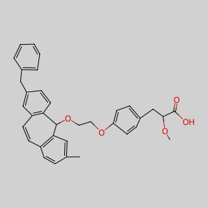 COC(Cc1ccc(OCCOC2c3ccc(Cc4ccccc4)cc3C=Cc3ccc(C)cc32)cc1)C(=O)O